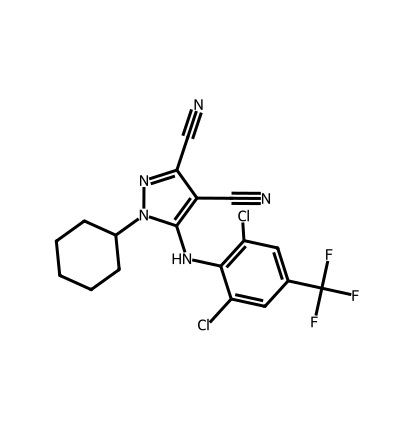 N#Cc1nn(C2CCCCC2)c(Nc2c(Cl)cc(C(F)(F)F)cc2Cl)c1C#N